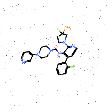 O=C(Nc1c(-c2ccccc2F)ccnc1N1CCC(F)(P)C1)N1CCN(c2cccnc2)CC1